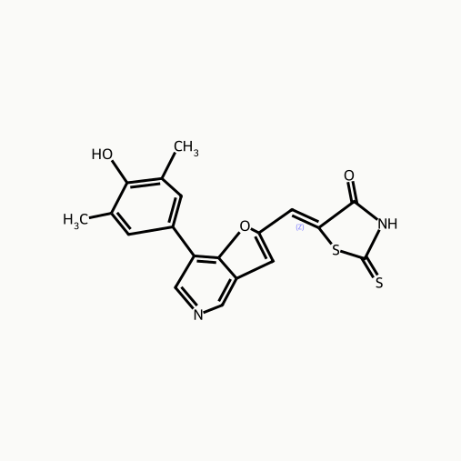 Cc1cc(-c2cncc3cc(/C=C4\SC(=S)NC4=O)oc23)cc(C)c1O